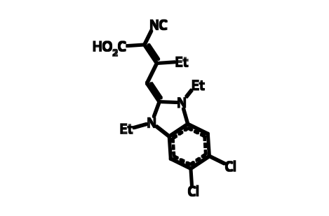 [C-]#[N+]C(C(=O)O)=C(C=C1N(CC)c2cc(Cl)c(Cl)cc2N1CC)CC